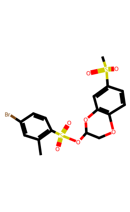 Cc1cc(Br)ccc1S(=O)(=O)OC1COc2ccc(S(C)(=O)=O)cc2O1